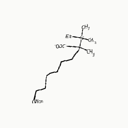 CCCCCCCCCCCCCCCC(C)(C(=O)[O-])[N+](C)(C)CC